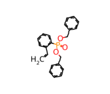 C=Cc1ccccc1P(=O)(OCc1ccccc1)OCc1ccccc1